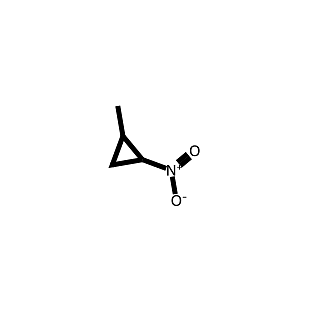 CC1CC1[N+](=O)[O-]